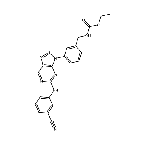 CCOC(=O)NCc1cccc(-n2nnc3cnc(Nc4cccc(C#N)c4)nc32)c1